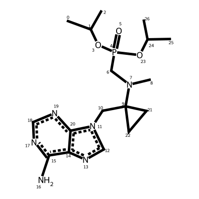 CC(C)OP(=O)(CN(C)C1(Cn2cnc3c(N)ncnc32)CC1)OC(C)C